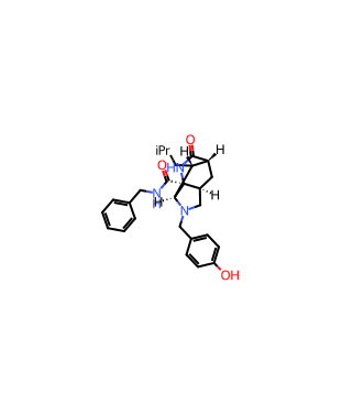 CC(C)C[C@H]1[C@@H]2N(Cc3ccc(O)cc3)C[C@@H]3C[C@H]1C(=O)N[C@@]32C(=O)NCc1ccccc1